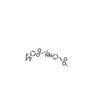 CCOC(=O)C=Cc1ccc(NCC(C)(C)CCC(=O)Oc2cccc(C(F)(F)F)c2)cc1